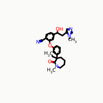 CCC1(c2cccc(Oc3cc(C(O)Cc4cncn4C)ccc3C#N)c2)CCCCN(C)C1=O